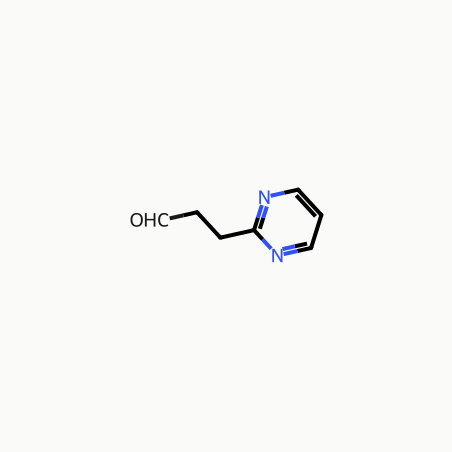 O=CCCc1ncccn1